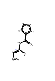 [CH2]C/C(=C\OC)OC(=O)c1nccs1